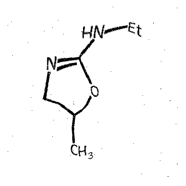 CCNC1=NCC(C)O1